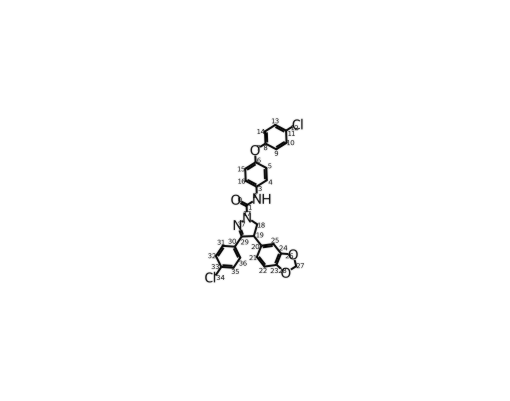 O=C(Nc1ccc(Oc2ccc(Cl)cc2)cc1)N1CC(c2ccc3c(c2)OCO3)C(c2ccc(Cl)cc2)=N1